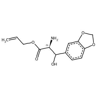 C=CCOC(=O)[C@@H](N)C(O)c1ccc2c(c1)OCO2